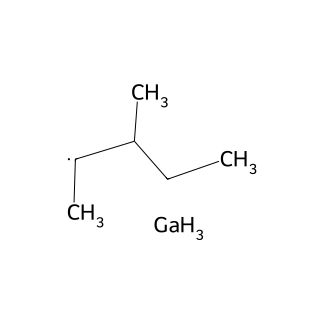 C[CH]C(C)CC.[GaH3]